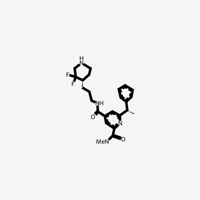 CNC(=O)c1cc(C(=O)NCCC[C@H]2CCNCC2(F)F)cc([C@@H](C)c2ccccc2)n1